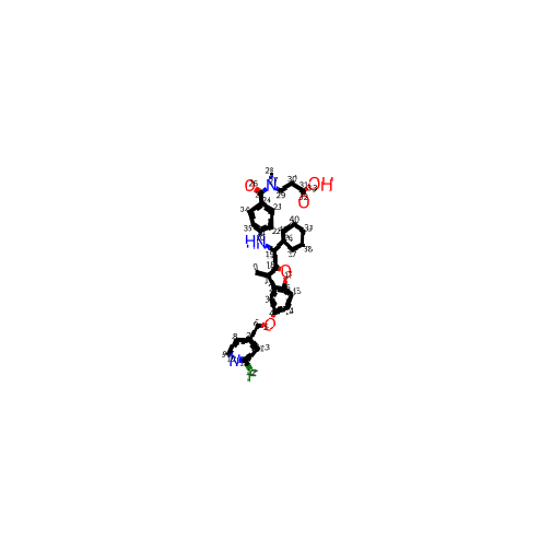 CC1c2cc(OCc3ccnc(F)c3)ccc2OC1C(Nc1ccc(C(=O)N(C)CCC(=O)O)cc1)C1CCCCC1